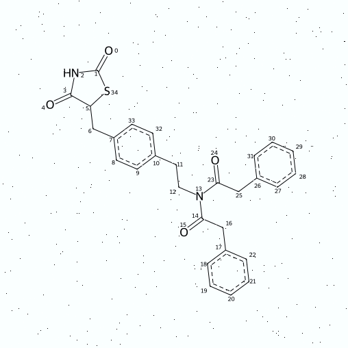 O=C1NC(=O)C(Cc2ccc(CCN(C(=O)Cc3ccccc3)C(=O)Cc3ccccc3)cc2)S1